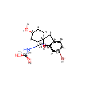 CO[C@H]1CC[C@]2(CC1)Cc1ccc(Br)cc1C21COC(NC(=O)O)=N1